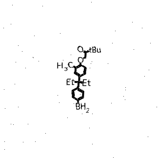 Bc1ccc(C(CC)(CC)c2ccc(OCC(=O)C(C)(C)C)c(C)c2)cc1